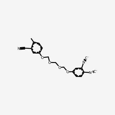 [C-]#[N+]c1ccc(OCOCOCOc2ccc(C)c(C#N)c2)cc1[N+]#[C-]